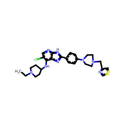 CCN1CCC(Nc2c(Cl)cnc3[nH]c(-c4ccc(N5CCN(Cc6cscn6)CC5)cc4)nc23)CC1